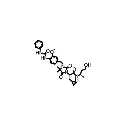 COc1cc(CN2C(=O)N([C@@H](CC3CC3)C(=O)N[C@H](C)CCO)C(=O)C2(C)C)ccc1NC(=O)Nc1ccccc1